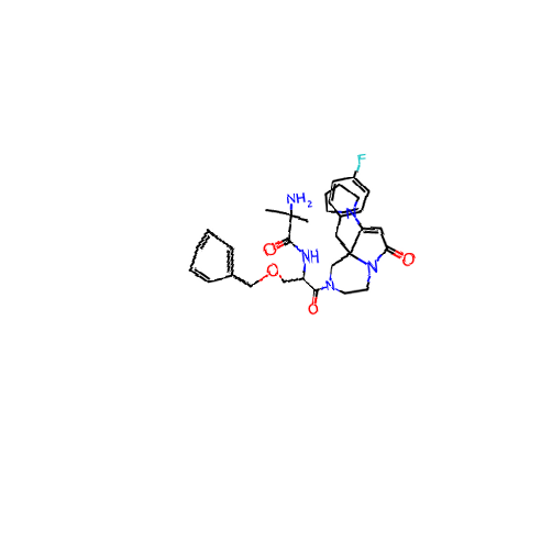 CC(C)(N)C(=O)NC(COCc1ccccc1)C(=O)N1CCN2C(=O)C=C(N3CCCC3)C2(Cc2ccc(F)cc2)C1